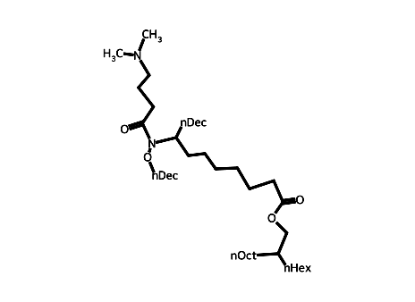 CCCCCCCCCCON(C(=O)CCCN(C)C)C(CCCCCCCCCC)CCCCCCC(=O)OCC(CCCCCC)CCCCCCCC